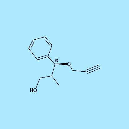 C#CCO[C@H](c1ccccc1)C(C)CO